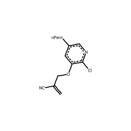 C=C(C#N)COc1cc(CCCCC)cnc1Cl